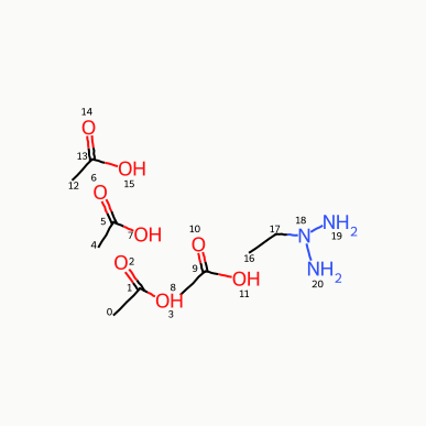 CC(=O)O.CC(=O)O.CC(=O)O.CC(=O)O.CCN(N)N